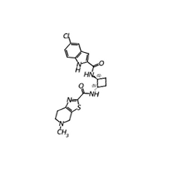 CN1CCc2nc(C(=O)N[C@H]3CC[C@@H]3NC(=O)c3cc4cc(Cl)ccc4[nH]3)sc2C1